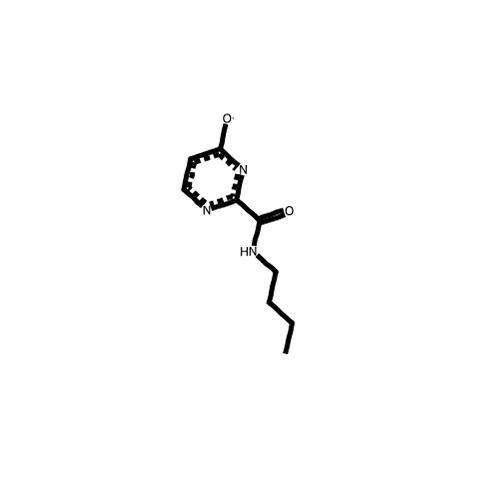 CCCCNC(=O)c1nccc([O])n1